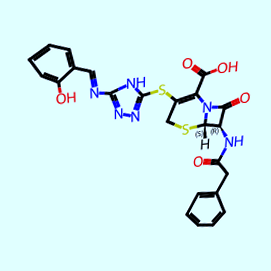 O=C(Cc1ccccc1)N[C@@H]1C(=O)N2C(C(=O)O)=C(Sc3nnc(N=Cc4ccccc4O)[nH]3)CS[C@@H]12